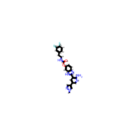 Cn1cc(-c2cnc(N)c(-c3nc4ccc(OC(=O)NCCc5ccc(F)c(F)c5)cc4[nH]3)c2)cn1